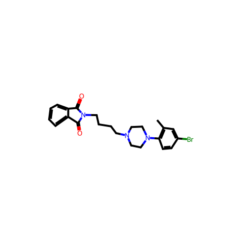 Cc1cc(Br)ccc1N1CCN(CCCCN2C(=O)c3ccccc3C2=O)CC1